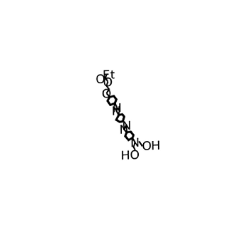 CCC(=O)OCCOc1ccc(N=Nc2ccc(N=Nc3ccc(N(CCO)CCO)cc3)cc2)cc1